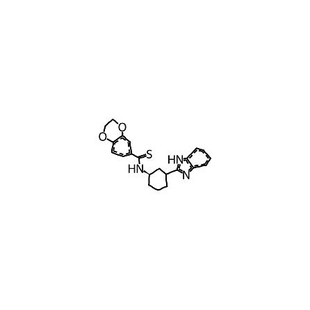 S=C(N[C@@H]1CCCC(c2nc3ccccc3[nH]2)C1)c1ccc2c(c1)OCCO2